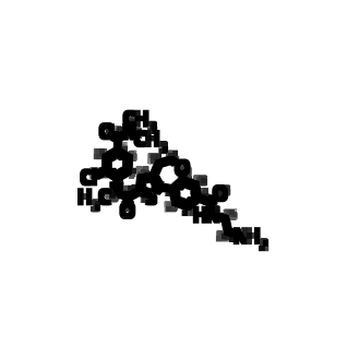 CN(C)C(=O)c1ccc(N(C)C(=O)c2cc3c(s2)-c2ccc(C(=O)NCCN)cc2OCC3)c(Cl)c1